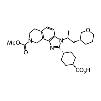 COC(=O)N1CCc2ccc3c(nc([C@H]4CC[C@H](C(=O)O)CC4)n3[C@@H](C)C[C@@H]3CCCOC3)c2C1